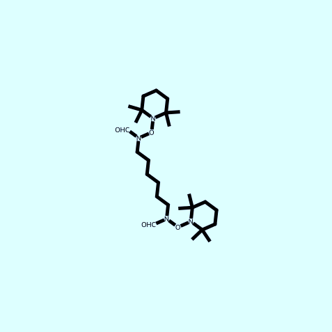 CC1(C)CCCC(C)(C)N1ON(C=O)CCCCCCN(C=O)ON1C(C)(C)CCCC1(C)C